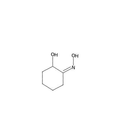 O/N=C1/CCCCC1O